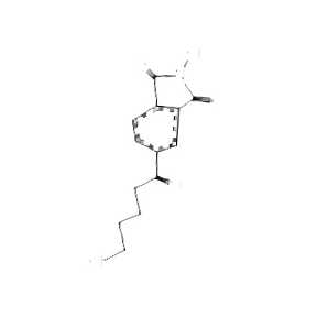 CN1C(=O)c2ccc(C(=O)CCCCCl)cc2C1=O